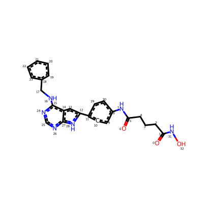 O=C(CCCC(=O)Nc1ccc(-c2cc3c(NCc4ccccc4)ncnc3[nH]2)cc1)NO